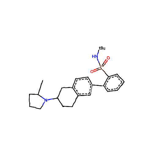 CC1CCCN1C1CCc2cc(-c3ccccc3S(=O)(=O)NC(C)(C)C)ccc2C1